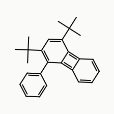 CC(C)(C)c1cc(C(C)(C)C)c2c(c1-c1ccccc1)=c1ccccc1=2